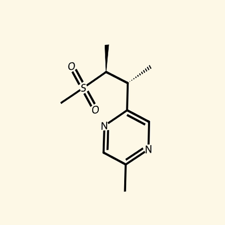 Cc1cnc([C@@H](C)[C@H](C)S(C)(=O)=O)cn1